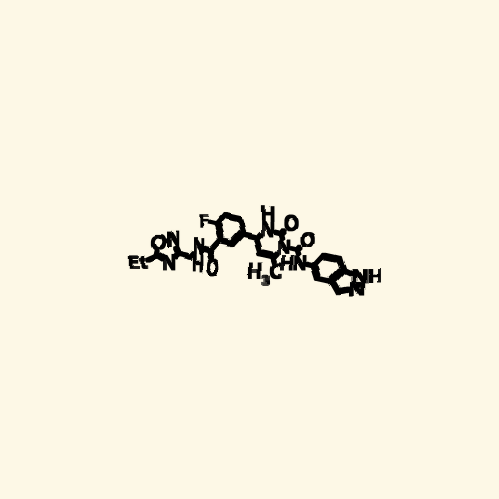 CCc1nc(CNC(=O)c2cc(C3C=C(C)N(C(=O)Nc4ccc5[nH]ncc5c4)C(=O)N3)ccc2F)no1